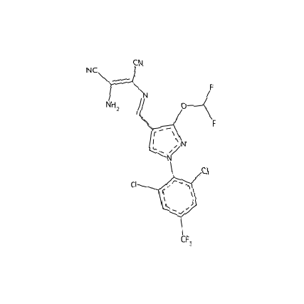 N#CC(N)=C(C#N)N=Cc1cn(-c2c(Cl)cc(C(F)(F)F)cc2Cl)nc1OC(F)F